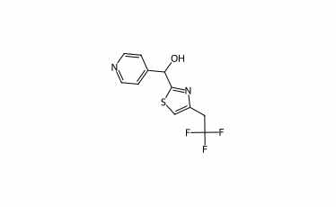 OC(c1ccncc1)c1nc(CC(F)(F)F)cs1